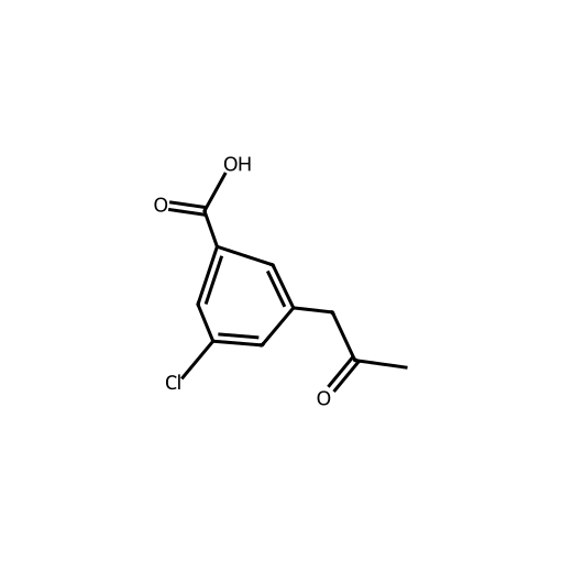 CC(=O)Cc1cc(Cl)cc(C(=O)O)c1